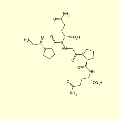 NCC(=O)N1CCC[C@H]1C(=O)N(NCC(=O)N1CCC[C@H]1C(=O)N[C@@H](CCC(N)=O)C(=O)O)[C@@H](CCC(N)=O)C(=O)O